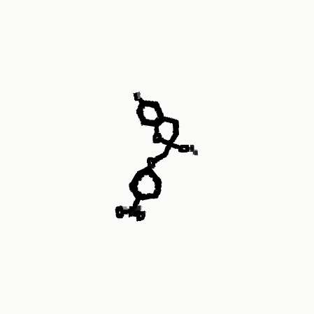 CC1(COc2ccc([N+](=O)[O-])cc2)C=Cc2cc(F)ccc2O1